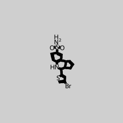 NS(=O)(=O)c1ccc2c(c1)C1C=CCC1C(c1cc(Br)cs1)N2